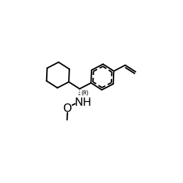 C=Cc1ccc([C@H](NOC)C2CCCCC2)cc1